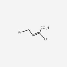 CC/C(=C/CC(C)C)C(=O)O